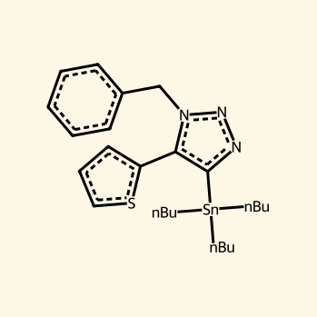 CCC[CH2][Sn]([CH2]CCC)([CH2]CCC)[c]1nnn(Cc2ccccc2)c1-c1cccs1